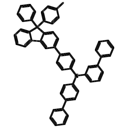 Cc1ccc(C2(c3ccccc3)c3ccccc3-c3cc(-c4ccc(N(c5ccc(-c6ccccc6)cc5)c5cccc(-c6ccccc6)c5)cc4)ccc32)cc1